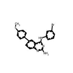 CSc1ccc(-c2ccc3nc(N)nc(Nc4cccc(Br)c4)c3c2)cc1